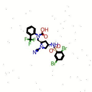 N#CN1C[C@H](NS(=O)(=O)c2cc(Br)ccc2Br)C[C@@H]1CN(C(=O)O)c1ccccc1C(F)(F)F